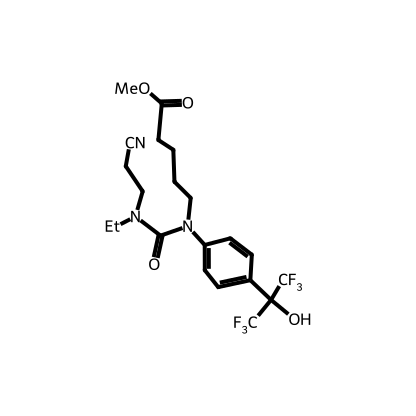 CCN(CCC#N)C(=O)N(CCCCC(=O)OC)c1ccc(C(O)(C(F)(F)F)C(F)(F)F)cc1